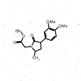 COc1ccc(C2CC(C)N(CC(=O)OC(C)(C)C)C2=O)cc1OC